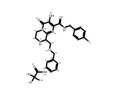 O=C(NCc1ccc(F)cc1)c1nc2n(c(=O)c1O)CCNC2COCc1ccccc1.O=C(O)C(F)(F)F